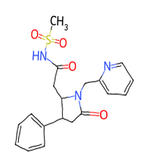 CS(=O)(=O)NC(=O)CC1C(c2ccccc2)CC(=O)N1Cc1ccccn1